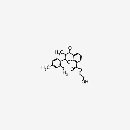 Cc1ccc(-c2oc3c(C(=O)OCCO)cccc3c(=O)c2C)c(C)c1